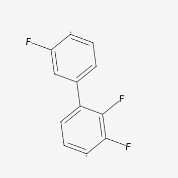 Fc1[c]ccc(-c2cc[c]c(F)c2F)c1